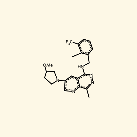 COC1CCN(c2cnc3c(C)nnc(NCc4cccc(C(F)(F)F)c4C)c3c2)C1